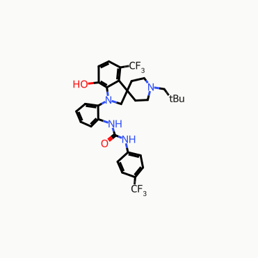 CC(C)(C)CN1CCC2(CC1)CN(c1ccccc1NC(=O)Nc1ccc(C(F)(F)F)cc1)c1c(O)ccc(C(F)(F)F)c12